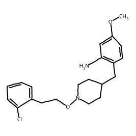 COc1ccc(CC2CCN(OCCc3ccccc3Cl)CC2)c(N)c1